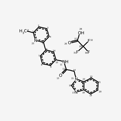 Cc1cccc(-c2cccc(NC(=O)Cn3cnc4ccccc43)c2)n1.O=C(O)C(F)(F)F